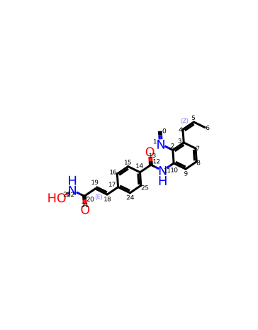 C=Nc1c(/C=C\C)cccc1NC(=O)c1ccc(/C=C/C(=O)NO)cc1